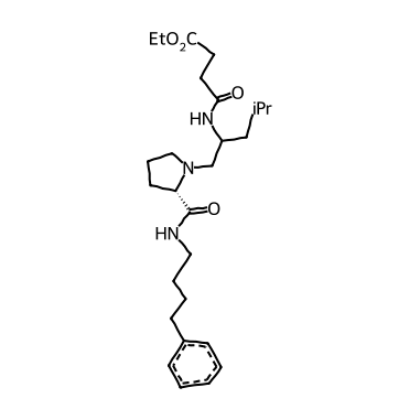 CCOC(=O)CCC(=O)NC(CC(C)C)CN1CCC[C@H]1C(=O)NCCCCc1ccccc1